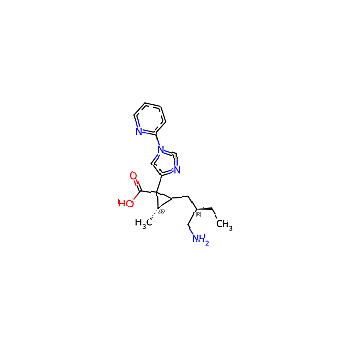 CC[C@@H](CN)CC1[C@H](C)C1(C(=O)O)c1cn(-c2ccccn2)cn1